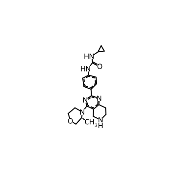 C[C@H]1COCCN1c1nc(-c2ccc(NC(=O)NC3CC3)cc2)nc2c1CNCC2